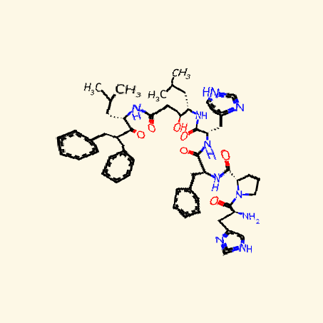 CC(C)C[C@H](NC(=O)C[C@H](O)[C@H](CC(C)C)NC(=O)[C@H](Cc1c[nH]cn1)NC(=O)[C@H](Cc1ccccc1)NC(=O)[C@@H]1CCCN1C(=O)[C@@H](N)Cc1c[nH]cn1)C(=O)[C](Cc1ccccc1)c1ccccc1